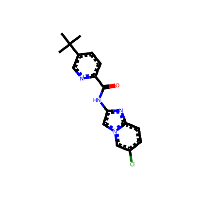 CC(C)(C)c1ccc(C(=O)Nc2cn3cc(Cl)ccc3n2)nc1